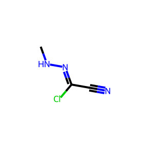 CN/N=C(\Cl)C#N